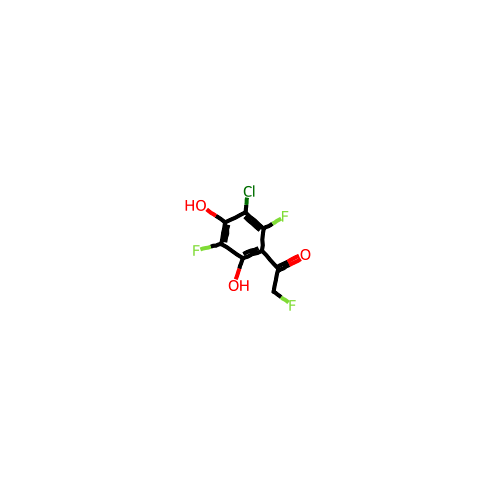 O=C(CF)c1c(O)c(F)c(O)c(Cl)c1F